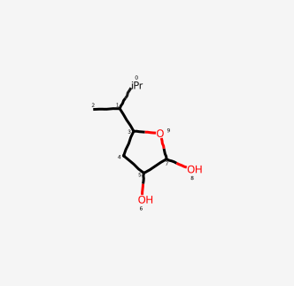 CC(C)C(C)C1CC(O)C(O)O1